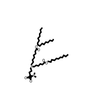 CCCCCCCCCCCOC(=O)CCCCCN(CCCCCCCC(=O)OC(CCCCCCCC)CCCCCCCC)CCCc1c(N(C)C)c(=O)c1=O